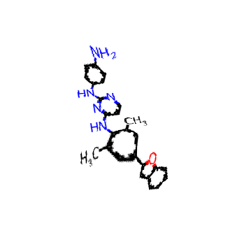 Cc1cc(-c2cc3ccccc3o2)cc(C)c1Nc1ccnc(Nc2ccc(N)cc2)n1